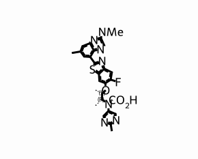 CNc1cnc2c(-c3nc4cc(F)c(O[C@@H](C)[C@@H](C)N(C(=O)O)c5cnc(C)nc5)cc4s3)cc(C)cc2n1